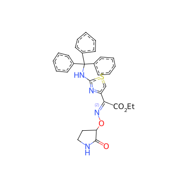 CCOC(=O)/C(=N\OC1CCNC1=O)c1csc(NC(c2ccccc2)(c2ccccc2)c2ccccc2)n1